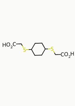 O=C(O)CSC1CCC(SCC(=O)O)CC1